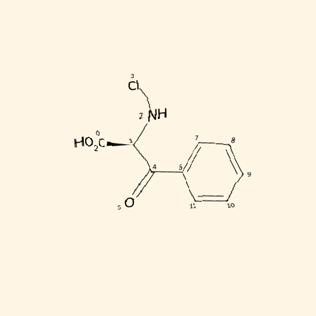 O=C(O)[C@@H](NCl)C(=O)c1ccccc1